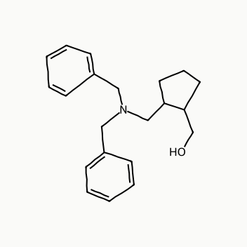 OCC1CCCC1CN(Cc1ccccc1)Cc1ccccc1